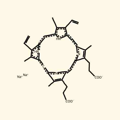 C=Cc1c(C)c2cc3[nH]c(cc4nc(cc5nc(cc1[nH]2)C(C)=C5CCC(=O)[O-])C(CCC(=O)[O-])=C4C)c(C)c3C=C.[Na+].[Na+]